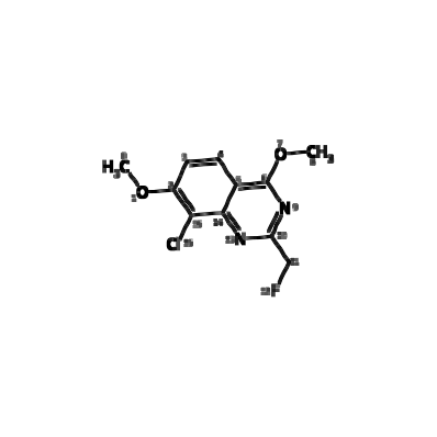 COc1ccc2c(OC)nc(CF)nc2c1Cl